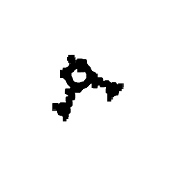 CC(OCCc1cc(F)cc(F)c1)C1=Cc2cc3[nH]c(cc4nc(cc5ccc(cc1n2)[nH]5)C=C4)cc3C(C)OCCc1cc(F)cc(F)c1.[K].[K]